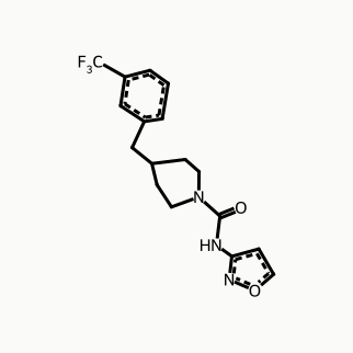 O=C(Nc1ccon1)N1CCC(Cc2cccc(C(F)(F)F)c2)CC1